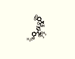 COc1cccc(C(c2cnc(NC(=O)C3(c4ccc5c(c4)OCO5)CC3)s2)N(C)C)c1